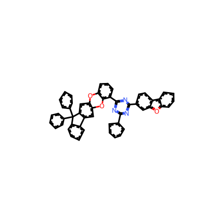 c1ccc(-c2nc(-c3ccc4c(c3)oc3ccccc34)nc(-c3cccc4c3Oc3cc5c(cc3O4)C(c3ccccc3)(c3ccccc3)c3ccccc3-5)n2)cc1